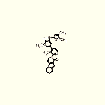 Cc1c(-c2cc(Nc3cc(C)n(C)n3)c(=O)n(C)c2)ccnc1-n1ccc2c(cc3n2CCCC3)c1=O